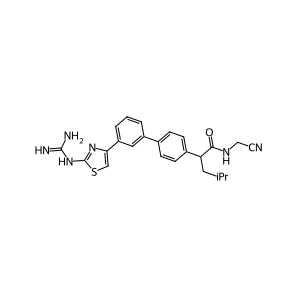 CC(C)CC(C(=O)NCC#N)c1ccc(-c2cccc(-c3csc(NC(=N)N)n3)c2)cc1